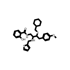 COc1ccc(CC(SCC2CCCCC2)C(CNC(=O)c2ccccc2O)NCc2cccs2)cc1